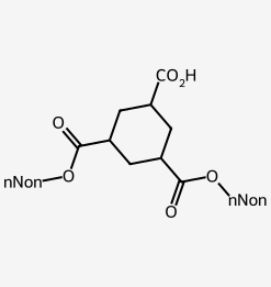 CCCCCCCCCOC(=O)C1CC(C(=O)O)CC(C(=O)OCCCCCCCCC)C1